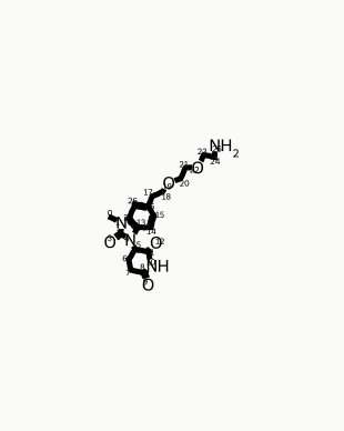 Cn1c(=O)n(C2CCC(=O)NC2=O)c2ccc(CCOCCOCCN)cc21